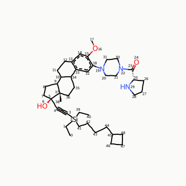 CC[Si](C#C[C@]1(O)CCC2C3CCc4cc(OC)c(N5CCN(C(=O)[C@@H]6CCCN6)CC5)cc4C3CC[C@@]21C)(CC)CCCCC1CCC1